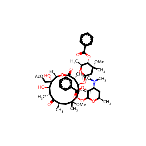 CC[C@H]1OC(=O)[C@H](C)[C@@H](OC2C[C@@](C)(OC)[C@@H](OC(=O)c3ccccc3)[C@H](C)O2)[C@H](C)[C@@H](OC2O[C@H](C)C[C@H](N(C)C)[C@H]2OC(=O)c2ccccc2)[C@@](C)(OC)C[C@@H](C)C(=O)[C@H](C)[C@@H](O)[C@@]1(O)COC(C)=O